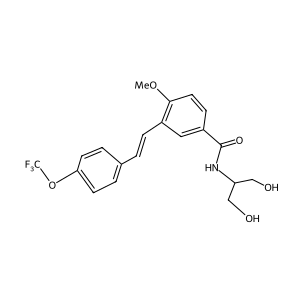 COc1ccc(C(=O)NC(CO)CO)cc1C=Cc1ccc(OC(F)(F)F)cc1